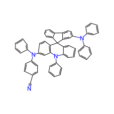 N#Cc1ccc(N(c2ccccc2)c2ccc3c(c2)N(c2ccccc2)c2ccccc2C32c3ccccc3-c3ccc(N(c4ccccc4)c4ccccc4)cc32)cc1